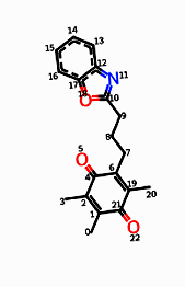 CC1=C(C)C(=O)C(CCCc2nc3ccccc3o2)=C(C)C1=O